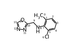 Cc1cccc(Cl)c1NCc1nnco1